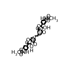 CS(=O)(=O)Nc1ccc(C(=O)C(O)N2C(=O)CN(CCN3CC(=O)N(C(O)C(=O)c4ccc(NS(C)(=O)=O)cc4)C(=O)C3)CC2=O)cc1